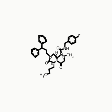 CCCC[C@H]1C(=O)N(CCC(c2ccccc2)c2ccccc2)C[C@H]2N1C(=O)CN(C)N2C(=O)NCc1ccc(F)cc1